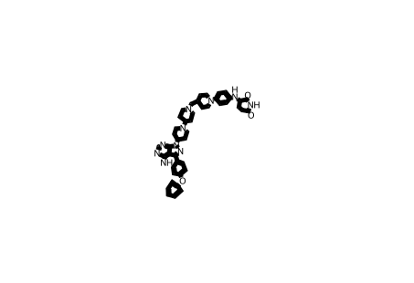 Nc1ncnc2c1c(-c1ccc(Oc3ccccc3)cc1)nn2C1CCN(C2CCN(CC3CCN(c4ccc(NC5CCC(=O)NC5=O)cc4)CC3)CC2)CC1